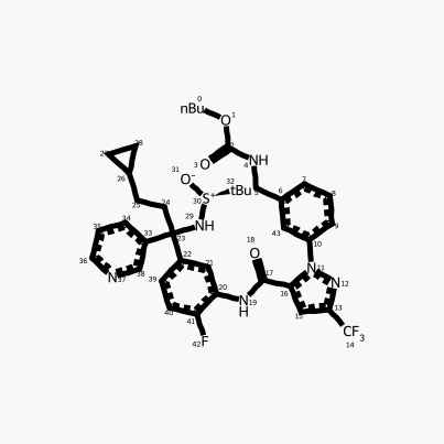 CCCCOC(=O)NCc1cccc(-n2nc(C(F)(F)F)cc2C(=O)Nc2cc(C(CCC3CC3)(N[S@@+]([O-])C(C)(C)C)c3cccnc3)ccc2F)c1